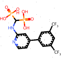 O=P(O)(O)C(Nc1cc(-c2cc(C(F)(F)F)cc(C(F)(F)F)c2)ccn1)P(=O)(O)O